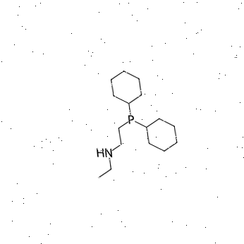 CCNCCP(C1CCCCC1)C1CCCCC1